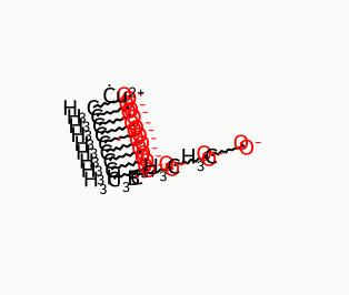 CCCCCCCCCC(=O)[O-].CCCCCCCCCC(=O)[O-].CCCCCCCCCC(=O)[O-].CCCCCCCCCC(=O)[O-].CCCCCCCCCC(=O)[O-].CCCCCCCCCC(=O)[O-].CCCCCCCCCC(=O)[O-].CCCCCCCCCC(=O)[O-].CCCCCCCCCC(=O)[O-].CCCCCCCCCC(=O)[O-].CCCCCCCCCC(=O)[O-].CCCCCCCCCC(=O)[O-].[B+3].[Cu+2]